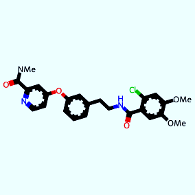 CNC(=O)c1cc(Oc2cccc(CCNC(=O)c3cc(OC)c(OC)cc3Cl)c2)ccn1